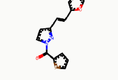 O=C(c1cccs1)n1ccc(C=Cc2ccco2)n1